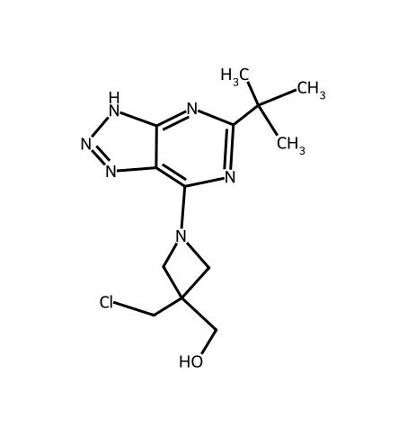 CC(C)(C)c1nc(N2CC(CO)(CCl)C2)c2nn[nH]c2n1